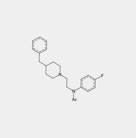 CC(=O)N(CCN1CCC(Cc2ccccc2)CC1)c1ccc(F)cc1